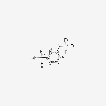 FC(F)(F)Cc1nc[c]c(C(F)(F)F)n1